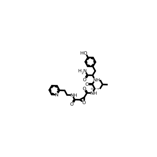 CC(C)C[C@H](NC(=O)C1OC1C(=O)NCCc1ccccn1)C(=O)NC(Cc1ccc(O)cc1)C(N)=O